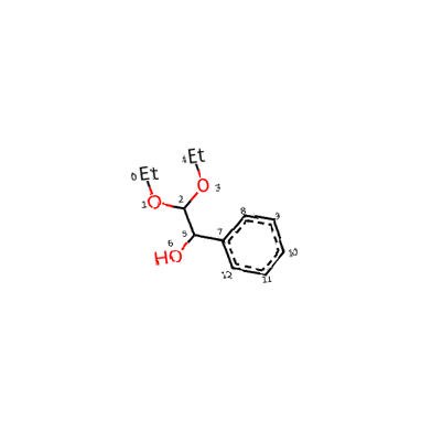 CCOC(OCC)C(O)c1ccccc1